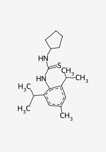 Cc1cc(C(C)C)c(NC(=S)NC2CCCC2)c(C(C)C)c1